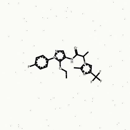 CCOc1c(NC(=O)C(C)n2cc(C(F)(F)F)nc2C)cnn1-c1ccc(F)cc1